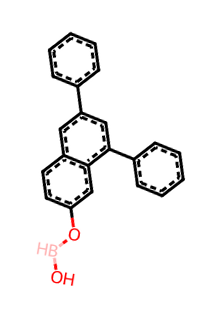 OBOc1ccc2cc(-c3ccccc3)cc(-c3ccccc3)c2c1